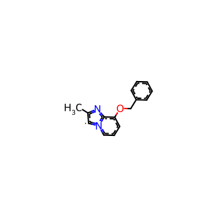 Cc1[c]n2cccc(OCc3ccccc3)c2n1